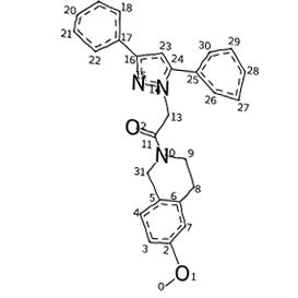 COc1ccc2c(c1)CCN(C(=O)Cn1nc(-c3ccccc3)cc1-c1ccccc1)C2